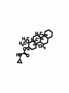 CC1(C)C2CC[C@]3(C)C(CCC4CCCC[C@]43C)[C@@]2(C)CC[C@H]1OC(=O)NC1CC1